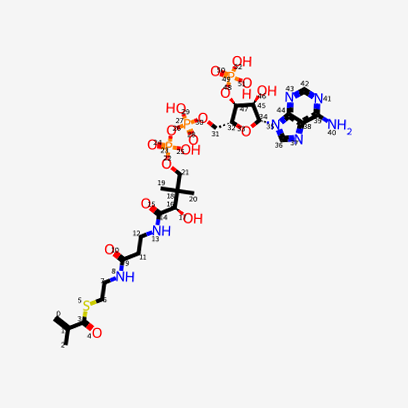 C=C(C)C(=O)SCCNC(=O)CCNC(=O)[C@H](O)C(C)(C)COP(=O)(O)OP(=O)(O)OC[C@H]1O[C@@H](n2cnc3c(N)ncnc32)[C@H](O)[C@@H]1OP(=O)(O)O